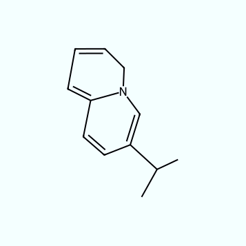 CC(C)C1=CN2CC=CC=C2C=C1